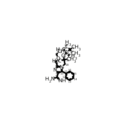 CCOCc1nc(C(=N)N)c(-c2ccccc2)n1CC(C)(C)O[Si](C)(C)C(C)(C)C